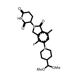 COC(OC)C1CCN(c2cc(C)c3c(c2F)CN(C2CCC(=O)NC2=O)C3=O)CC1